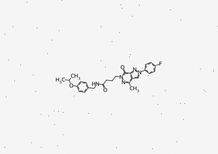 Cc1nn(CCCC(=O)NCc2ccc(OC(C)C)cc2)c(=O)c2nn(-c3ccc(F)cc3)cc12